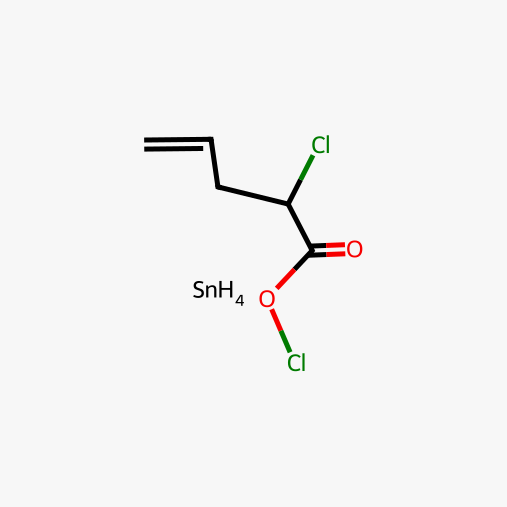 C=CCC(Cl)C(=O)OCl.[SnH4]